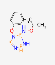 CC(C)ONp1[nH][pH]npn1Oc1ccccc1